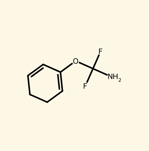 NC(F)(F)OC1=CCCC=C1